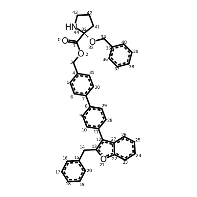 O=C(OCc1ccc(-c2ccc(-c3c(Cc4ccccc4)oc4ccccc34)cc2)cc1)[C@]1(OCc2ccccc2)CCCN1